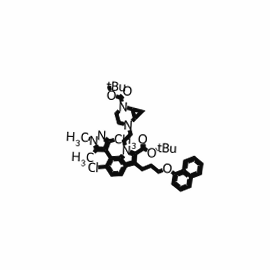 Cc1nn(C)c(C)c1-c1c(Cl)ccc2c(CCCOc3cccc4ccccc34)c(C(=O)OC(C)(C)C)n(CCN3CCN(C(=O)OC(C)(C)C)C4CC43)c12